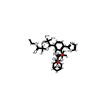 CCOC(=O)C(F)(F)OC(c1ccc(-c2nccs2)c2oc(N3CC4CC(C3)N4C(=O)OC(C)(C)C)nc12)C(F)(F)F